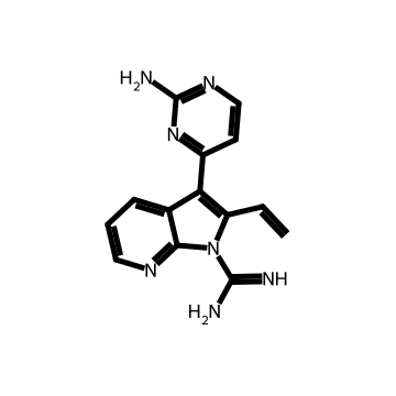 C=Cc1c(-c2ccnc(N)n2)c2cccnc2n1C(=N)N